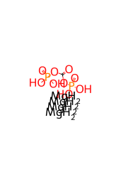 O=C(OP(=O)(O)O)OP(=O)(O)O.[MgH2].[MgH2].[MgH2].[MgH2]